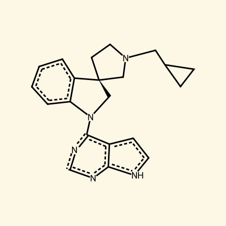 c1ccc2c(c1)N(c1ncnc3[nH]ccc13)C[C@]21CCN(CC2CC2)C1